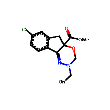 COC(=O)C12Cc3cc(Cl)ccc3C1=NN(CN=O)CO2